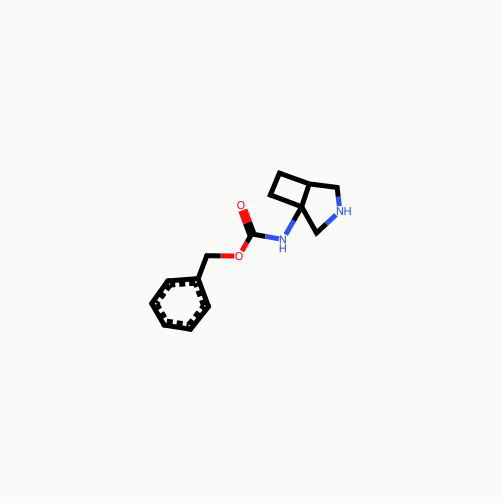 O=C(NC12CCC1CNC2)OCc1ccccc1